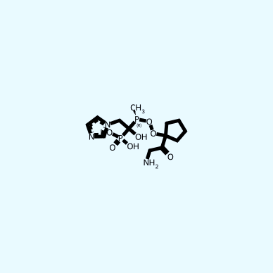 C[P@](OOC1(C(=O)CN)CCCC1)C(O)(Cn1ccnc1)P(=O)(O)O